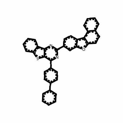 c1ccc(-c2ccc(-c3nc(-c4ccc5c(c4)oc4ccc6ccccc6c45)nc4c3sc3ccccc34)cc2)cc1